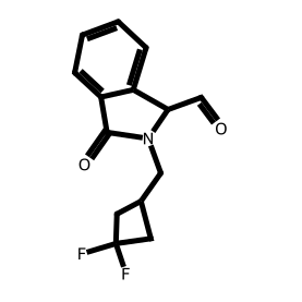 O=CC1c2ccccc2C(=O)N1CC1CC(F)(F)C1